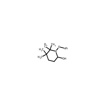 CCCON1C(O)CCC(C)(C)C1(C)C